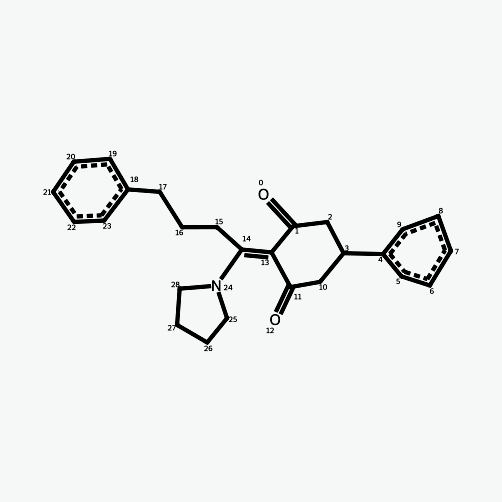 O=C1CC(c2ccccc2)CC(=O)C1=C(CCCc1ccccc1)N1CCCC1